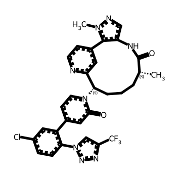 C[C@@H]1CCC[C@H](n2ccc(-c3cc(Cl)ccc3-n3cc(C(F)(F)F)nn3)cc2=O)c2cc(ccn2)-c2c(cnn2C)NC1=O